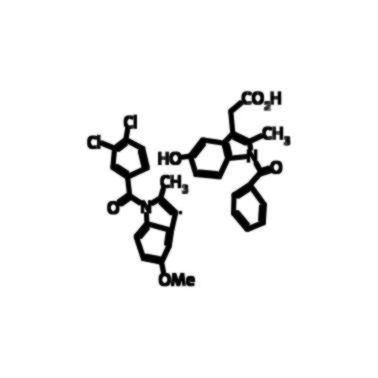 COc1ccc2c([c]c(C)n2C(=O)c2ccc(Cl)c(Cl)c2)c1.Cc1c(CC(=O)O)c2cc(O)ccc2n1C(=O)c1ccccc1